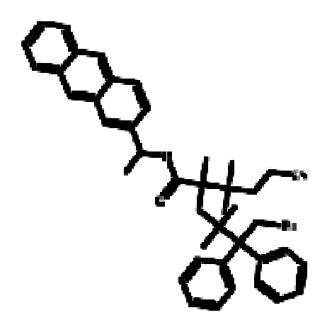 CCC(C)CC(c1ccccc1)(c1ccccc1)C(C)(C)CC(C)(C(=O)OC(C)c1ccc2cc3ccccc3cc2c1)C(C)(C)CCC#N